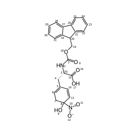 O=C(N[C@@H](CC1=CCC(O)([N+](=O)[O-])C=C1)C(=O)O)OCC1c2ccccc2-c2ccccc21